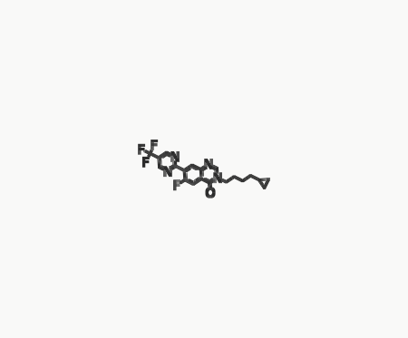 O=c1c2cc(F)c(-c3ncc(C(F)(F)F)cn3)cc2ncn1CCCCC1CC1